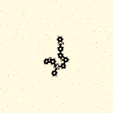 c1ccc(-c2nc(-c3cccc(-c4cccc5c4sc4ccc(-c6ccc(-c7nc8ccccc8s7)cc6)cc45)c3)nc(-c3ccc4oc5ccccc5c4c3)n2)cc1